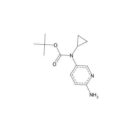 CC(C)(C)OC(=O)N(c1ccc(N)nc1)C1CC1